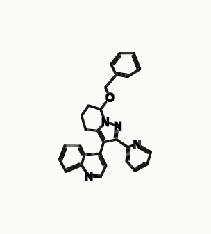 c1ccc(COC2CCCc3c(-c4ccnc5ccccc45)c(-c4ccccn4)nn32)cc1